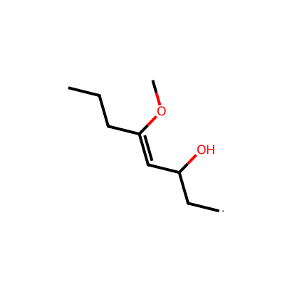 [CH2]CC(O)/C=C(/CCC)OC